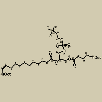 CCCCCCCC/C=C\CCCCCCCCCC(=O)O[C@H](COC(=O)CCCCCCCCCCCCC)COP(=O)([O-])OCC[N+](C)(C)C